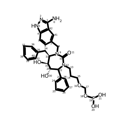 Nc1n[nH]c2ccc(CN3C(=O)N(CCCOCOP(O)O)C(c4ccccc4)[C@H](O)[C@@H](O)[C@H]3Cc3ccccc3)cc12